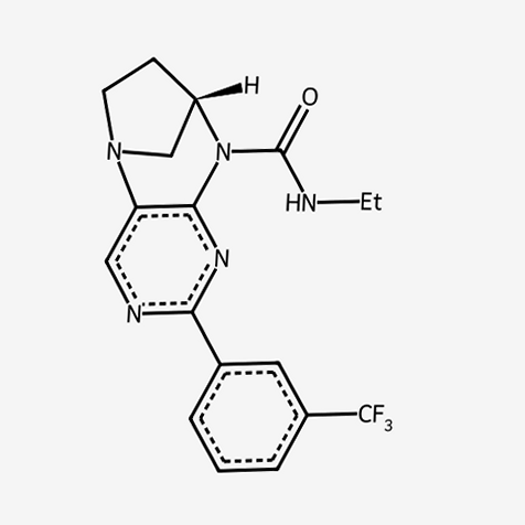 CCNC(=O)N1c2nc(-c3cccc(C(F)(F)F)c3)ncc2N2CC[C@H]1C2